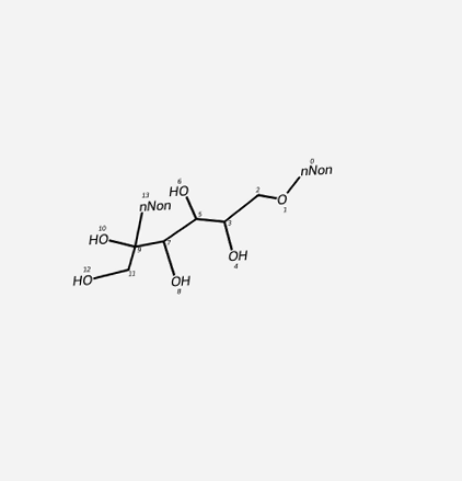 CCCCCCCCCOCC(O)C(O)C(O)C(O)(CO)CCCCCCCCC